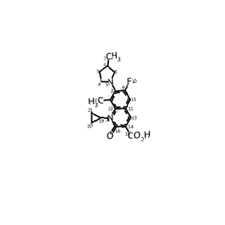 Cc1c(N2CCC(C)C2)c(F)cc2cc(C(=O)O)c(=O)n(C3CC3)c12